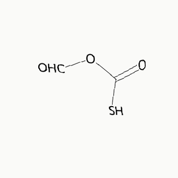 O=COC(=O)S